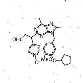 COc1ccc(Cn2c(C)nc3c(C)nc(C(CC=O)c4cc[n+]([O-])cc4)nc32)cc1OC1CCCC1